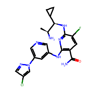 C[C@H](N)[C@H](Nc1nc(Nc2cncc(-n3cc(Cl)cn3)c2)c(C(N)=O)cc1F)C1CC1